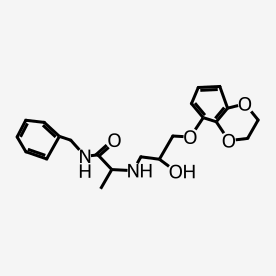 CC(NCC(O)COc1cccc2c1OCCO2)C(=O)NCc1ccccc1